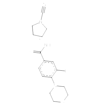 N#CN1CC[C@@H](NC(=O)c2ccc(N3CCOCC3)c(F)c2)C1